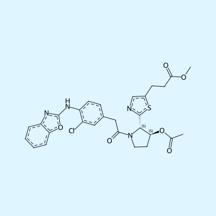 COC(=O)CCc1cnc([C@@H]2[C@@H](OC(C)=O)CCN2C(=O)Cc2ccc(Nc3nc4ccccc4o3)c(Cl)c2)s1